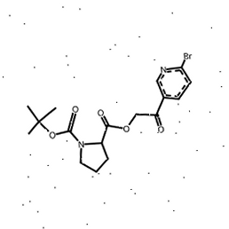 CC(C)(C)OC(=O)N1CCCC1C(=O)OCC(=O)c1ccc(Br)nc1